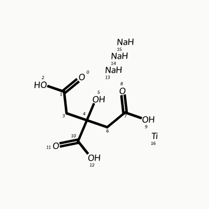 O=C(O)CC(O)(CC(=O)O)C(=O)O.[NaH].[NaH].[NaH].[Ti]